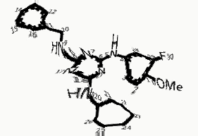 COc1ccc(Nc2nc(NCc3ccccc3)nc(NC3CCCCCC3)n2)cc1F